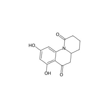 O=C1CC2CCCC(=O)N2c2cc(O)cc(O)c21